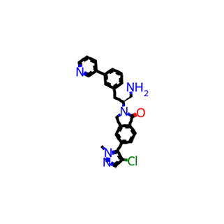 Cn1ncc(Cl)c1-c1ccc2c(c1)CN([C@H](CN)Cc1cccc(-c3cccnc3)c1)C2=O